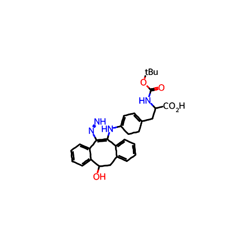 CC(C)(C)OC(=O)NC(CC1=CC=C(N/C2=C(\N=N)c3ccccc3C(O)Cc3ccccc32)CC1)C(=O)O